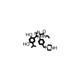 CCNC(=O)c1nnc(-c2cc(C(C)C)c(O)cc2O)n1-c1ccc(CN2CCNCC2)cc1